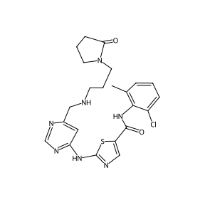 Cc1cccc(Cl)c1NC(=O)c1cnc(Nc2cc(CNCCCN3CCCC3=O)ncn2)s1